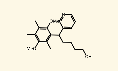 COc1c(C)c(C)c(OC)c(C(CCCCO)c2cccnc2)c1C